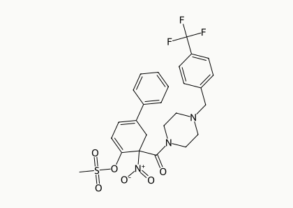 CS(=O)(=O)OC1=CC=C(c2ccccc2)CC1(C(=O)N1CCN(Cc2ccc(C(F)(F)F)cc2)CC1)[N+](=O)[O-]